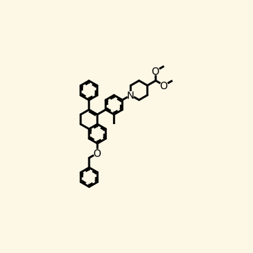 COC(OC)C1CCN(c2ccc(C3=C(c4ccccc4)CCc4cc(OCc5ccccc5)ccc43)c(C)c2)CC1